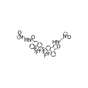 CC(C)c1ccccc1-c1c(/C=C/C(=O)NCCCN2CCCC2=O)ccc(Sc2ccc(/C=C/C(=O)NCCCN3CCCC3=O)c(-c3ccccc3C(C)C)c2C(F)(F)F)c1C(F)(F)F